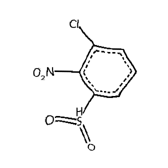 O=[N+]([O-])c1c(Cl)cccc1[SH](=O)=O